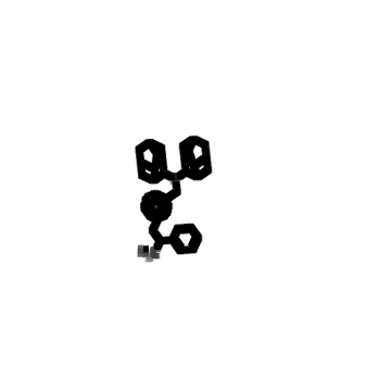 CC(C[C]12[CH]3[CH]4[C]5(CP(C6C7CC8CC(C7)CC6C8)C6C7CC8CC(C7)CC6C8)[CH]1[Fe]34251678[CH]2[CH]1[CH]6[CH]7[CH]28)c1ccccc1